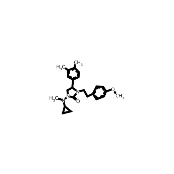 COc1ccc(CCN2C(=O)N(N(C)C3CC3)CC2c2ccc(C)c(C)c2)cc1